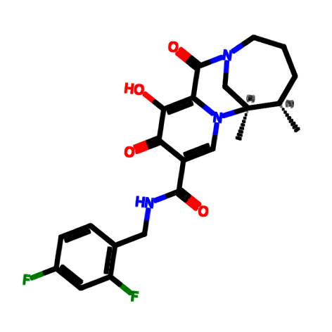 C[C@H]1CCCN2C[C@]1(C)n1cc(C(=O)NCc3ccc(F)cc3F)c(=O)c(O)c1C2=O